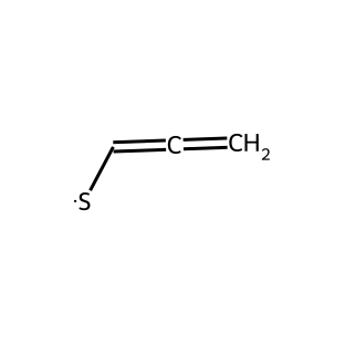 C=C=C[S]